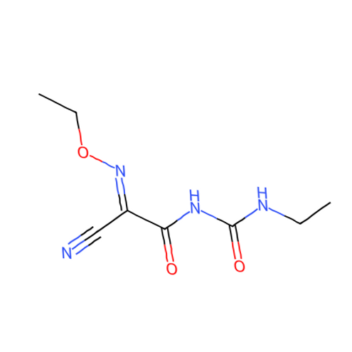 CCNC(=O)NC(=O)C(C#N)=NOCC